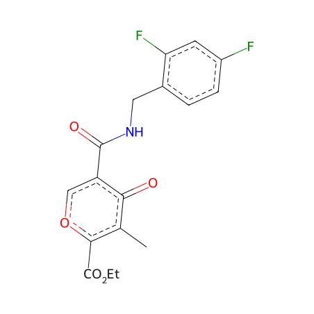 CCOC(=O)c1occ(C(=O)NCc2ccc(F)cc2F)c(=O)c1C